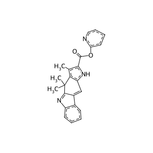 Cc1c(C(=O)Oc2ccccn2)[nH]c2c1C(C)(C)C1=Nc3ccccc3C1=C2